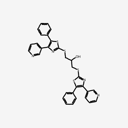 OC(CSc1nc(-c2cccnc2)c(-c2ccccc2)s1)CSc1nc(-c2cccnc2)c(-c2ccccc2)s1